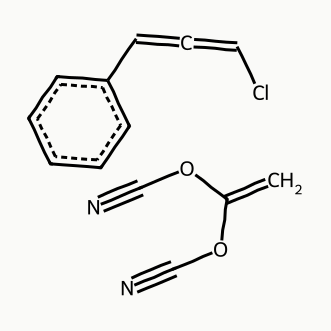 C=C(OC#N)OC#N.ClC=C=Cc1ccccc1